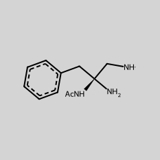 CC(=O)N[C@](N)(C[NH])Cc1ccccc1